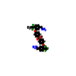 CC(F)(F)c1ccc(CN)cc1Oc1ccc(S(=O)(=O)c2ccc(Oc3cc(CN)ccc3C(F)(F)F)cc2)cc1